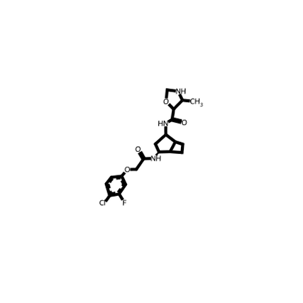 CC1NCOC1C(=O)NC1C[C@H](NC(=O)COc2ccc(Cl)c(F)c2)C2CCC12